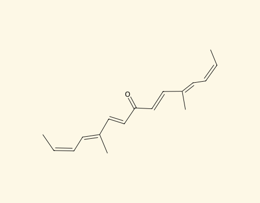 C\C=C/C=C(C)/C=C/C(=O)/C=C/C(C)=C/C=C\C